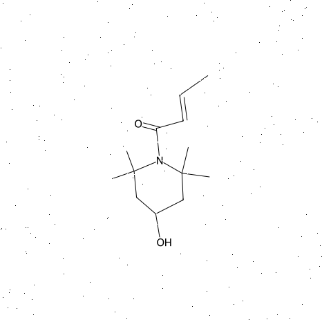 CC=CC(=O)N1C(C)(C)CC(O)CC1(C)C